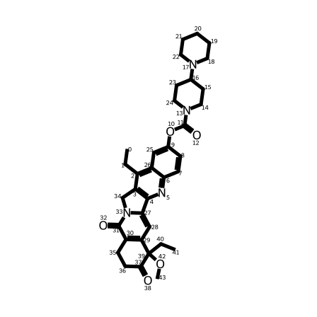 CCc1c2c(nc3ccc(OC(=O)N4CCC(N5CCCCC5)CC4)cc13)-c1cc3c(c(=O)n1C2)CCC(=O)C3(CC)OC